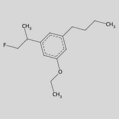 CCCCc1cc(OCC)cc([C](C)CF)c1